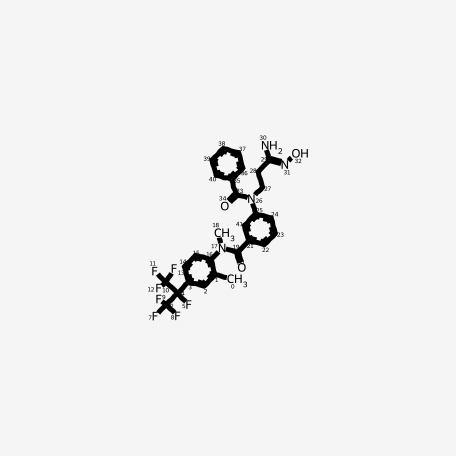 Cc1cc(C(F)(C(F)(F)F)C(F)(F)F)ccc1N(C)C(=O)c1cccc(N(CCC(N)=NO)C(=O)c2ccccc2)c1